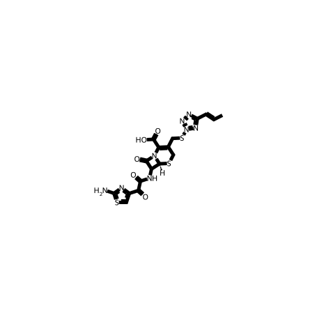 CC=Cc1nnn(SCC2=C(C(=O)O)N3C(=O)C(NC(=O)C(=O)c4csc(N)n4)[C@@H]3SC2)n1